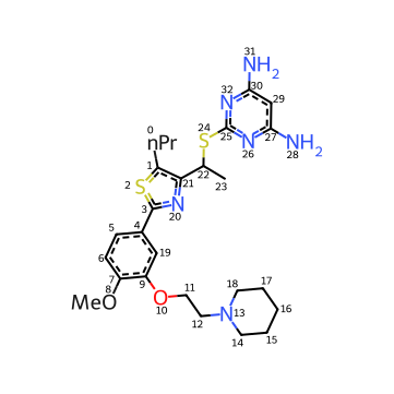 CCCc1sc(-c2ccc(OC)c(OCCN3CCCCC3)c2)nc1C(C)Sc1nc(N)cc(N)n1